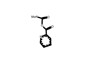 CNC(=O)OC(=O)c1ccccn1